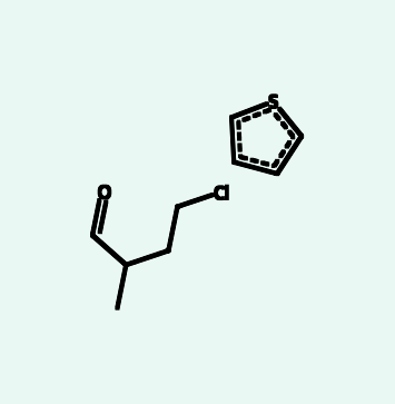 CC(C=O)CCCl.c1ccsc1